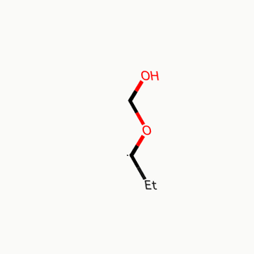 CC[CH]OCO